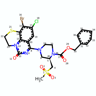 CS(=O)(=O)C[C@H]1CN(c2nc(=O)n3c4c(c(Br)c(Cl)cc24)SCC3)CCN1C(=O)OCc1ccccc1